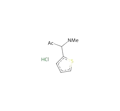 CNC(C(C)=O)c1cccs1.Cl